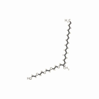 CCCCCCCCCCCCCCCCCCC(C)COCCOCCOCCOCCO